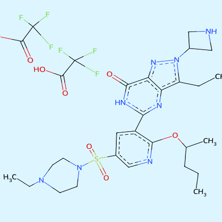 CCCC(C)Oc1ncc(S(=O)(=O)N2CCN(CC)CC2)cc1-c1nc2c(CC)n(C3CNC3)nc2c(=O)[nH]1.O=C(O)C(F)(F)F.O=C(O)C(F)(F)F